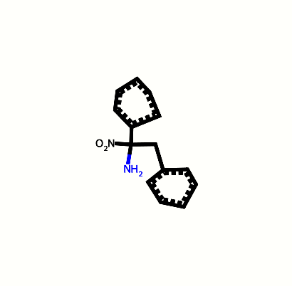 NC(Cc1ccccc1)(c1ccccc1)[N+](=O)[O-]